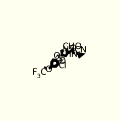 N#CC1(NC(=O)C2C[C@@H](S(=O)(=O)c3ccc(OCC(F)(F)F)cc3Cl)CN2C=O)CC1